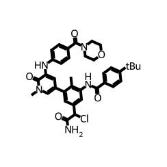 Cc1c(NC(=O)c2ccc(C(C)(C)C)cc2)cc(C(Cl)C(N)=O)cc1-c1cc(Nc2ccc(C(=O)N3CCOCC3)cc2)c(=O)n(C)c1